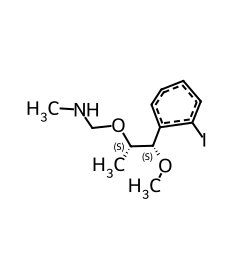 CNCO[C@@H](C)[C@@H](OC)c1ccccc1I